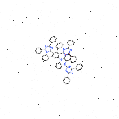 c1ccc(-c2nc(-c3ccccc3)nc(-c3c(-c4ccccc4)cc(N4c5ccccc5N(c5nc(-c6ccccc6)nc(-c6ccccc6)n5)c5ccccc54)c(-c4nc(-c5ccccc5)nc(-c5ccccc5)n4)c3-c3ccccc3)n2)cc1